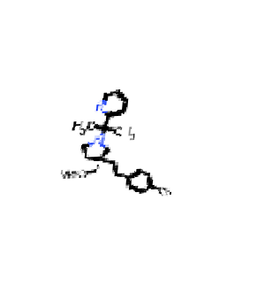 COC[C@]1(CCc2ccc(C#N)cc2)CCN(C(C)(C)c2ccccn2)C1